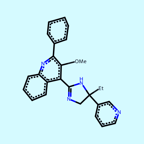 CCC1(c2cccnc2)CN=C(c2c(OC)c(-c3ccccc3)nc3ccccc23)N1